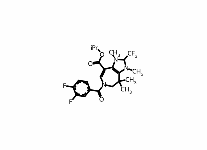 CC(C)OC(=O)C1=CN(C(=O)c2ccc(F)c(F)c2)CC(C)(C)C2=C1N(C)C(C(F)(F)F)N2C